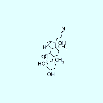 C[C@]12CCC3C(C4C[C@H]4[C@]4(O)C[C@@H](O)CC[C@]34C)C1[C@@H]1CC1[C@@]2(O)CCC#N